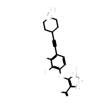 COc1c(C#CC2CCN(C)CC2)ccc(Oc2[nH]nnc2C(=O)O)c1F